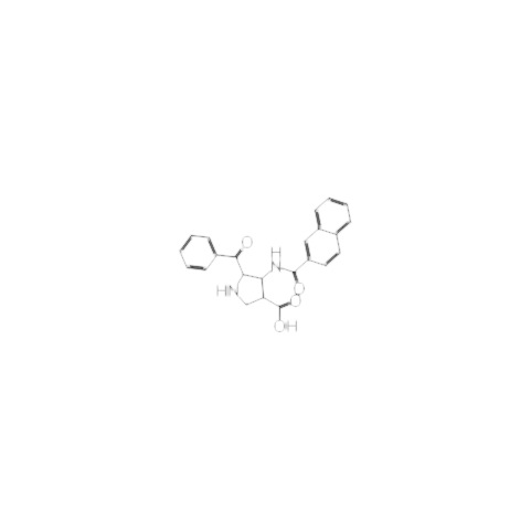 O=C(NC1C(C(=O)O)CNC1C(=O)c1ccccc1)c1ccc2ccccc2c1